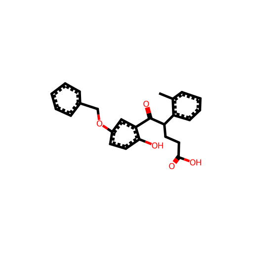 Cc1ccccc1C(CCC(=O)O)C(=O)c1cc(OCc2ccccc2)ccc1O